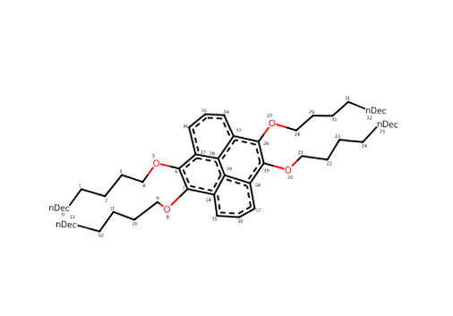 CCCCCCCCCCCCCCOc1c(OCCCCCCCCCCCCCC)c2cccc3c(OCCCCCCCCCCCCCC)c(OCCCCCCCCCCCCCC)c4cccc1c4c23